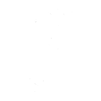 CN(C)/C=N\c1ccc(-c2ccc(OCCN(C)C)cc2)cc1C#N